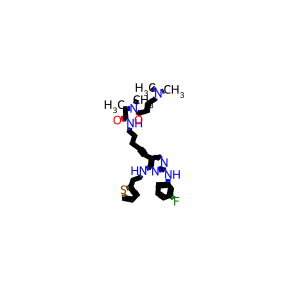 C[C@@H](C(=O)NCCCC#Cc1cnc(Nc2cccc(F)c2)nc1NCCc1cccs1)N(C)C(=O)/C=C/CN(C)C